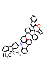 CC1(C)c2ccccc2-c2ccc(N(c3ccc(-c4cccc5c4-c4ccccc4C54c5ccccc5Oc5c4ccc4ccccc54)cc3)c3ccccc3-c3ccccc3)cc21